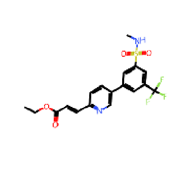 CCOC(=O)C=Cc1ccc(-c2cc(C(F)(F)F)cc(S(=O)(=O)NC)c2)cn1